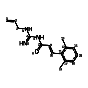 C=CCNC(=N)NC(=O)C=Cc1c(C)cccc1C